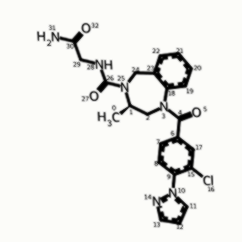 C[C@@H]1CN(C(=O)c2ccc(-n3cccn3)c(Cl)c2)c2ccccc2CN1C(=O)NCC(N)=O